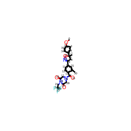 COc1ccc(C2(C)CC(c3ccc(C(=O)N4CC(=O)N(CC(F)(F)F)C(=O)C4)c(C)c3)=NO2)cc1